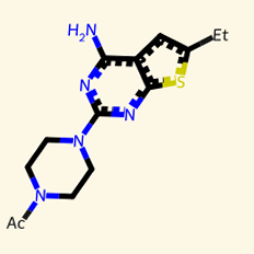 CCc1cc2c(N)nc(N3CCN(C(C)=O)CC3)nc2s1